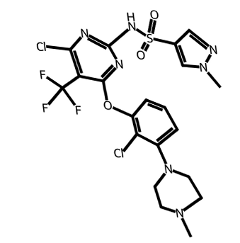 CN1CCN(c2cccc(Oc3nc(NS(=O)(=O)c4cnn(C)c4)nc(Cl)c3C(F)(F)F)c2Cl)CC1